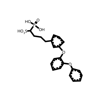 O=P(O)(O)C(CCCc1cccc(Oc2ccccc2Oc2ccccc2)c1)S(=O)(=O)O